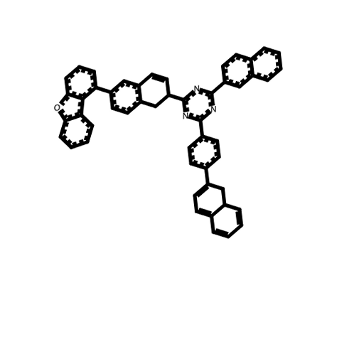 C1=CC2=CC=C(c3ccc(-c4nc(-c5ccc6ccccc6c5)nc(C5C=Cc6cc(-c7cccc8oc9ccccc9c78)ccc6C5)n4)cc3)CC2C=C1